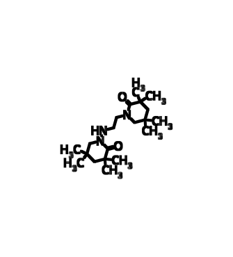 CC1(C)CN(CCNN2CC(C)(C)CC(C)(C)C2=O)C(=O)C(C)(C)C1